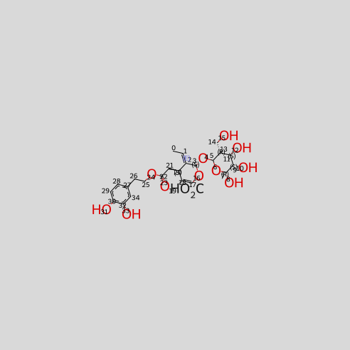 C/C=C1/[C@H](OC2O[C@@H](O)[C@@H](O)[C@@H](O)[C@H]2CO)OC=C(C(=O)O)[C@H]1CC(=O)OCCc1ccc(O)c(O)c1